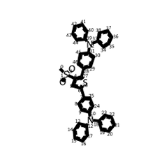 CS(=O)(=O)c1cc(-c2ccc(N(c3ccccc3)c3ccccc3)cc2)sc1-c1ccc(N(c2ccccc2)c2ccccc2)cc1